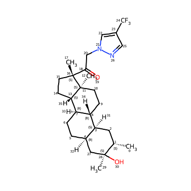 C[C@H]1C[C@H]2[C@H](CC[C@@H]3[C@@H]2CC[C@@]2(C)[C@H]3CC[C@]2(C)C(=O)Cn2cc(C(F)(F)F)cn2)C[C@]1(C)O